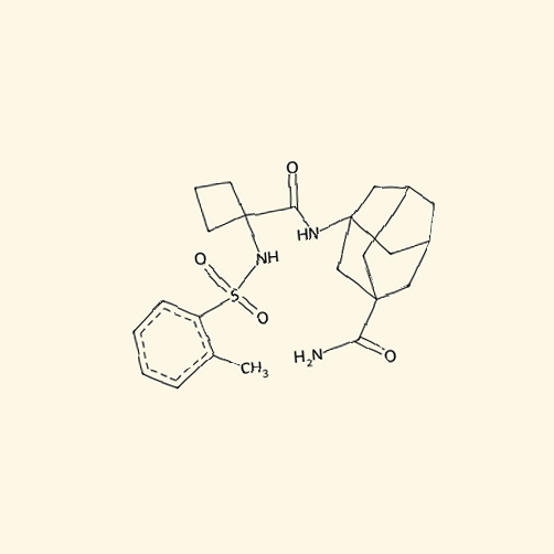 Cc1ccccc1S(=O)(=O)NC1(C(=O)NC23CC4CC(C2)CC(C(N)=O)(C4)C3)CCC1